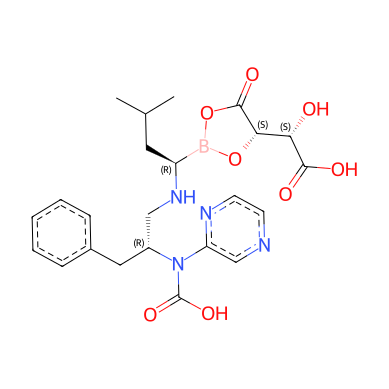 CC(C)C[C@H](NC[C@@H](Cc1ccccc1)N(C(=O)O)c1cnccn1)B1OC(=O)[C@H]([C@H](O)C(=O)O)O1